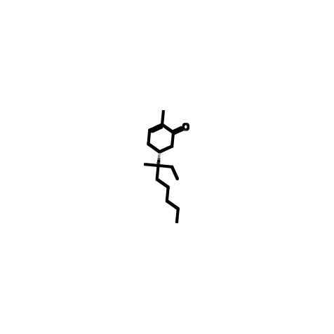 CCCCCC(C)(CC)[C@@H]1CC=C(C)C(=O)C1